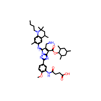 CCCCN1c2cc(C)c(/N=C3\C(CN)=C(C(=O)OC4C(C)CC(C)CC4C)c4nc(-c5ccc(OC)c(NC(=O)CCC(=O)O)c5)nn43)cc2C(C)CC1(C)C